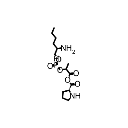 CCCCC(N)CO[PH](=O)OC(C)C(=O)OC(=O)[C@@H]1CCCN1